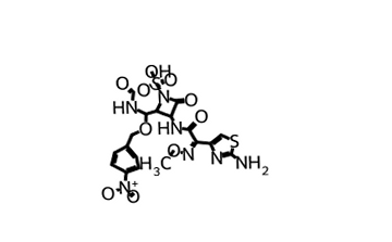 CON=C(C(=O)NC1C(=O)N(S(=O)(=O)O)C1C(NC=O)OCc1ccc([N+](=O)[O-])cc1)c1csc(N)n1